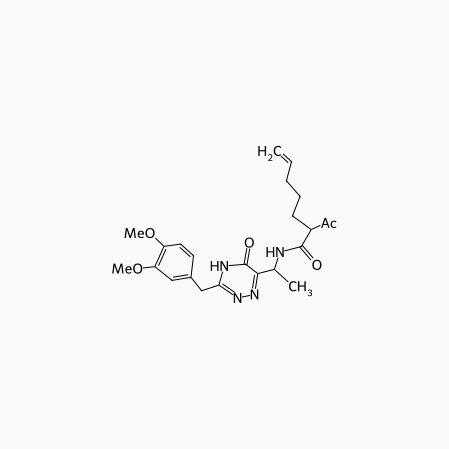 C=CCCCC(C(C)=O)C(=O)NC(C)c1nnc(Cc2ccc(OC)c(OC)c2)[nH]c1=O